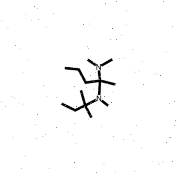 CCCC(C)(N(C)C)N(C)C(C)(C)CC